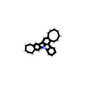 c1ccc2c(c1)c1c3c(cc4c5cc6c(cc5n2c41)CCCCC6)CCCCCCC3